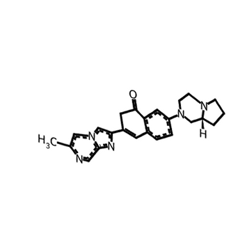 Cc1cn2cc(C3=Cc4ccc(N5CCN6CCC[C@@H]6C5)cc4C(=O)C3)nc2cn1